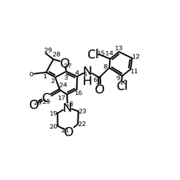 CC1=c2c(c(NC(=O)c3c(Cl)cccc3Cl)cc(N3CCOCC3)c2=C=O)OC1C